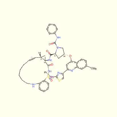 COc1ccc2c(O[C@@H]3C[C@@H](C(=O)N[C@]45C[C@H]4/C=C\CCCCCNc4ccccc4S(=O)(=O)NC5=O)N(C(=O)Nc4ccccc4)C3)cc(-c3csc(NC(C)C)n3)nc2c1